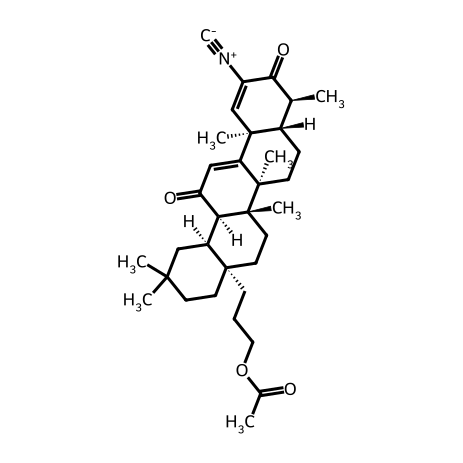 [C-]#[N+]C1=C[C@]2(C)C3=CC(=O)[C@@H]4[C@@H]5CC(C)(C)CC[C@]5(CCCOC(C)=O)CC[C@@]4(C)[C@]3(C)CC[C@H]2[C@H](C)C1=O